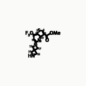 COC(=O)c1csc2c(C(F)(F)F)cc(N3CC4(CNC4)C3)nc12